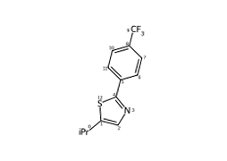 CC(C)c1cnc(-c2ccc(C(F)(F)F)cc2)s1